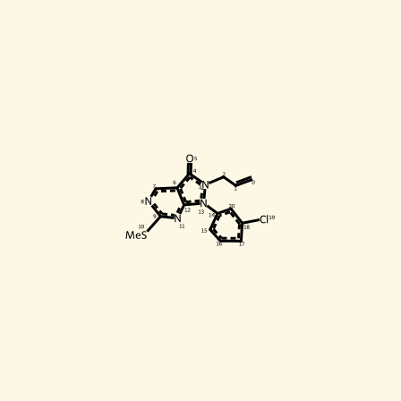 C=CCn1c(=O)c2cnc(SC)nc2n1-c1cccc(Cl)c1